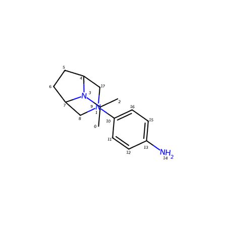 CC(C)N1C2CCC1CN(c1ccc(N)cc1)C2